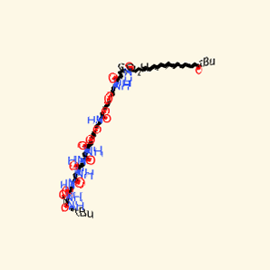 CC(C)(C)CNC(=O)[C@H](CO)NC(=O)CNC(=O)CNC(=O)CNC(=O)CNC(=O)COCCOCCNC(=O)COCCOCCNC(=O)CC[C@H](NC(=O)CCCCCCCCCCCCCCCCC(=O)C(C)(C)C)C(=O)O